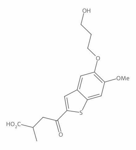 COc1cc2sc(C(=O)CC(C)C(=O)O)cc2cc1OCCCO